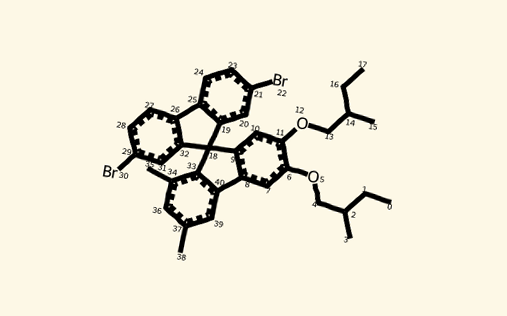 CCC(C)COc1cc2c(cc1OCC(C)CC)C1(c3cc(Br)ccc3-c3ccc(Br)cc31)c1c(C)cc(C)cc1-2